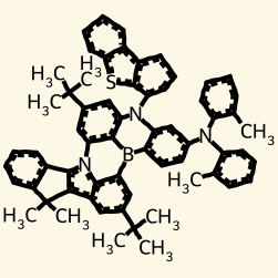 Cc1ccccc1N(c1ccc2c(c1)N(c1cccc3c1sc1ccccc13)c1cc(C(C)(C)C)cc3c1B2c1cc(C(C)(C)C)cc2c4c(n-3c12)-c1ccccc1C4(C)C)c1ccccc1C